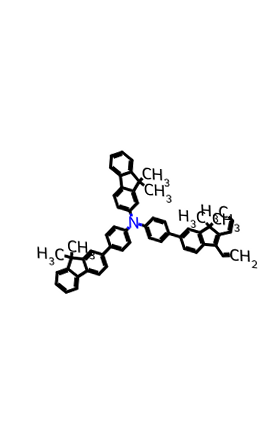 C=CC1=C(/C=C\C)C(C)(C)c2cc(-c3ccc(N(c4ccc(-c5ccc6c(c5)C(C)(C)c5ccccc5-6)cc4)c4ccc5c(c4)C(C)(C)c4ccccc4-5)cc3)ccc21